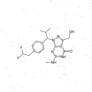 CNc1nc2c(c(CO)nn2C(c2ccc(CC(F)F)cc2)C(C)C)c(=O)[nH]1